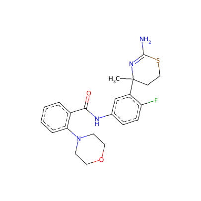 CC1(c2cc(NC(=O)c3ccccc3N3CCOCC3)ccc2F)CCSC(N)=N1